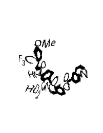 COc1ccc(CC(=O)Nc2ccc(C(=O)N(CC(=O)O)Cc3ccc(OC(=O)c4ccc5ncccc5c4)cc3)cc2)c(C(F)(F)F)c1